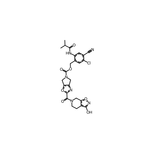 CC(C)C(=O)Nc1cc(C#N)c(Cl)cc1COC(=O)N1Cc2nc(C(=O)N3CCc4c(O)noc4C3)oc2C1